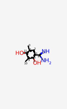 Cc1cc(C(=N)N)c(O)c(C)c1O